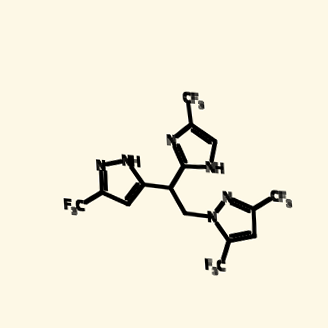 FC(F)(F)c1cc(C(Cn2nc(C(F)(F)F)cc2C(F)(F)F)c2nc(C(F)(F)F)c[nH]2)[nH]n1